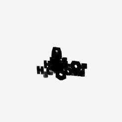 COc1cccc([C@H](C)NC(=O)N2CC3CCC(C2)N3c2ncnc3cc(-c4ccc(F)cc4)sc23)c1